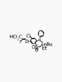 CCCC[C@@]1(CC)CN(c2ccccc2)c2cc(Cl)c(O/C=C(\F)C(=O)O)cc2S(=O)(=O)C1